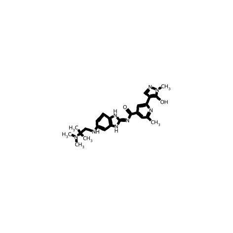 Cc1cc(C(=O)/N=c2\[nH]c3ccc(NCC(C)(C)N(C)C)cc3[nH]2)cc(-c2cnn(C)c2O)n1